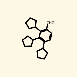 O=Cc1ccc(C2CCCC2)c(C2CCCC2)c1C1CCCC1